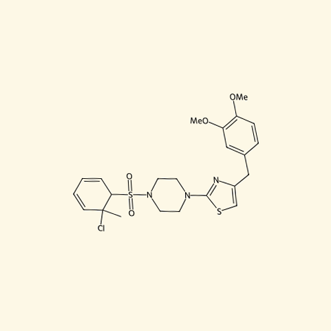 COc1ccc(Cc2csc(N3CCN(S(=O)(=O)C4C=CC=CC4(C)Cl)CC3)n2)cc1OC